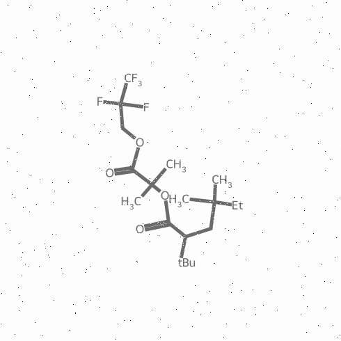 CCC(C)(C)CC(C(=O)OC(C)(C)C(=O)OCC(F)(F)C(F)(F)F)C(C)(C)C